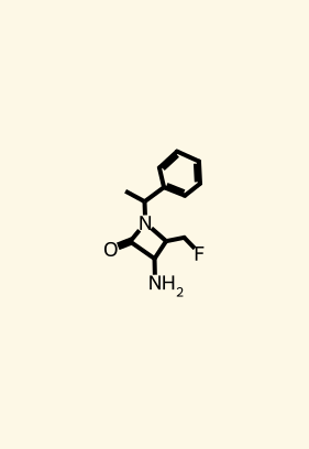 CC(c1ccccc1)N1C(=O)C(N)C1CF